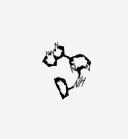 c1ccc(Nc2nccc(-c3cnn4ncccc34)n2)cc1